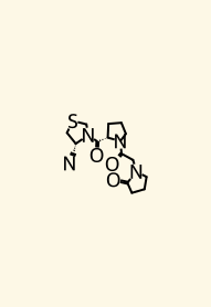 N#C[C@@H]1CSCN1C(=O)[C@@H]1CCCN1C(=O)CN1CCCC1=O